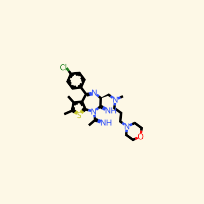 CC(=N)N1C(=N)[C@H](CN(C)CCCN2CCOCC2)N=C(c2ccc(Cl)cc2)c2c1sc(C)c2C